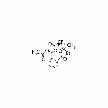 CC[Si](C)(CC)OC(=O)c1ccccc1C(OC(=O)C(F)(F)F)OC(=O)C(F)(F)F